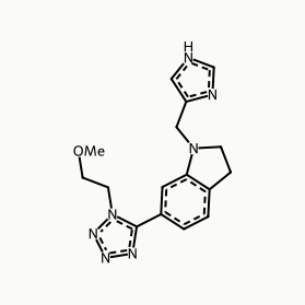 COCCn1nnnc1-c1ccc2c(c1)N(Cc1c[nH]cn1)CC2